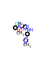 COc1cccc(Cl)c1NC(=O)c1nc(Nc2ccc(N3CCN(C)CC3)cc2)ncc1Br